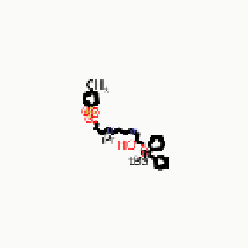 Cc1ccc(S(=O)(=O)OCC[C@H](/C=C/CC/C=C\C(O)CO[Si](c2ccccc2)(c2ccccc2)C(C)(C)C)C(C)C)cc1